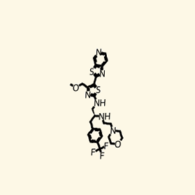 COCc1nc(NC[C@H](Cc2ccc(C(F)(F)F)cc2)NCCN2CCOCC2)sc1-c1nc2ccncc2s1